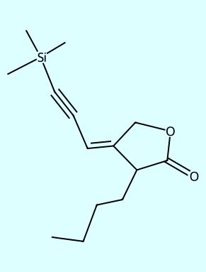 CCCCC1C(=O)OCC1=CC#C[Si](C)(C)C